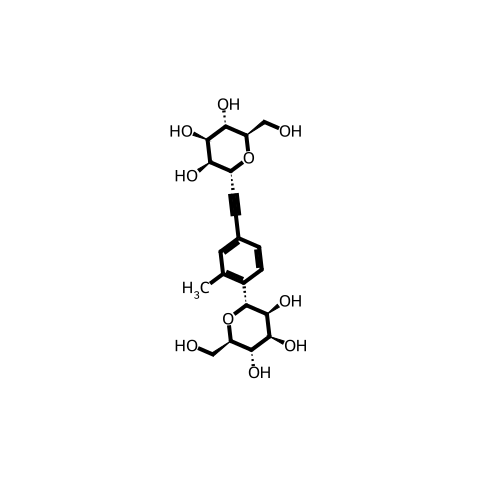 Cc1cc(C#C[C@H]2O[C@H](CO)[C@@H](O)[C@H](O)[C@@H]2O)ccc1[C@H]1O[C@H](CO)[C@@H](O)[C@H](O)[C@@H]1O